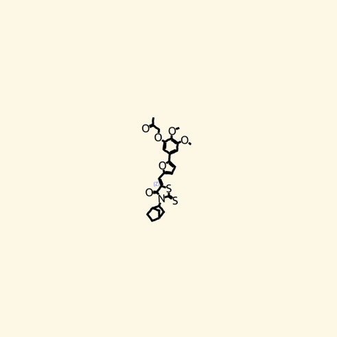 COc1cc(-c2ccc(/C=C3\SC(=S)N(C4CC5CCC4C5)C3=O)o2)cc(OCC(C)=O)c1OC